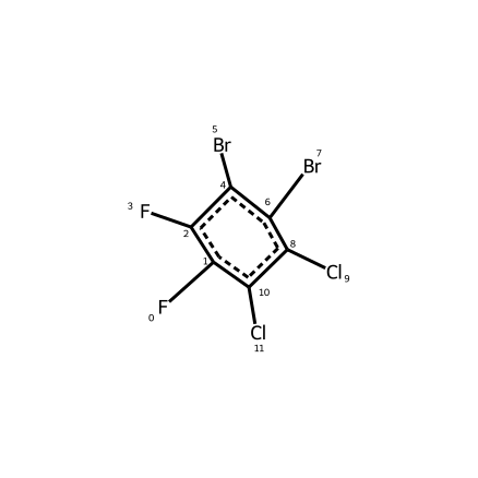 Fc1c(F)c(Br)c(Br)c(Cl)c1Cl